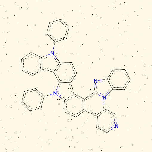 c1ccc(-n2c3ccccc3c3c2ccc2c4c5c(ccc4n(-c4ccccc4)c23)c2ccncc2n2c3ccccc3nc52)cc1